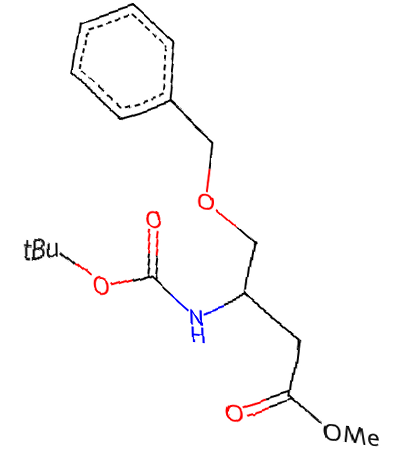 COC(=O)CC(COCc1ccccc1)NC(=O)OC(C)(C)C